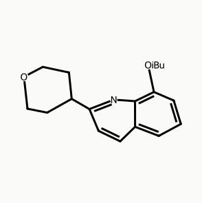 CC(C)COc1cccc2ccc(C3CCOCC3)nc12